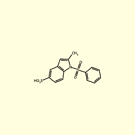 Cc1cc2cc(S(=O)(=O)O)ccc2n1S(=O)(=O)c1ccccc1